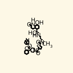 CN(CCCNC[C@H](O)c1ccc(O)c2[nH]c(=O)ccc12)C(=O)c1ccc(C(=O)N2CCC(C(=O)OC3CN4CCC3CC4)(c3ccccc3)CC2)s1